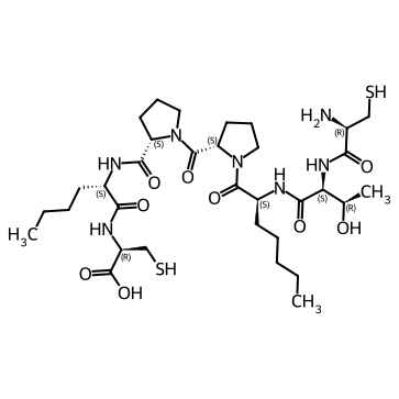 CCCCC[C@H](NC(=O)[C@@H](NC(=O)[C@@H](N)CS)[C@@H](C)O)C(=O)N1CCC[C@H]1C(=O)N1CCC[C@H]1C(=O)N[C@@H](CCCC)C(=O)N[C@@H](CS)C(=O)O